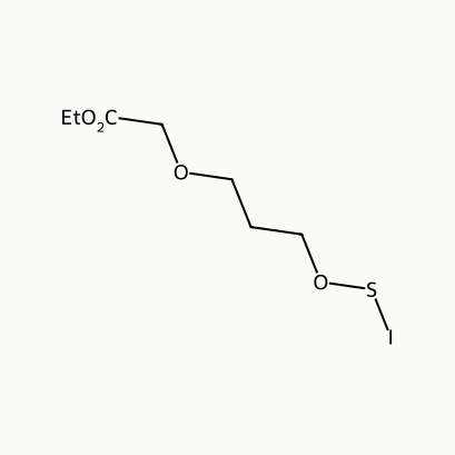 CCOC(=O)COCCCOSI